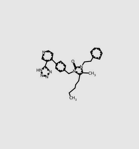 CCCCCc1c(C)n(CCc2ccccc2)c(=O)n1Cc1ccc(-c2ccncc2-c2nnn[nH]2)cc1